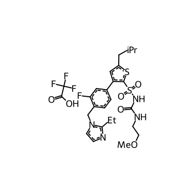 CCc1nccn1Cc1ccc(-c2cc(CC(C)C)sc2S(=O)(=O)NC(=O)NCCOC)cc1F.O=C(O)C(F)(F)F